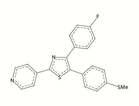 CSc1ccc(-c2sc(-c3ccncc3)nc2-c2ccc(F)cc2)cc1